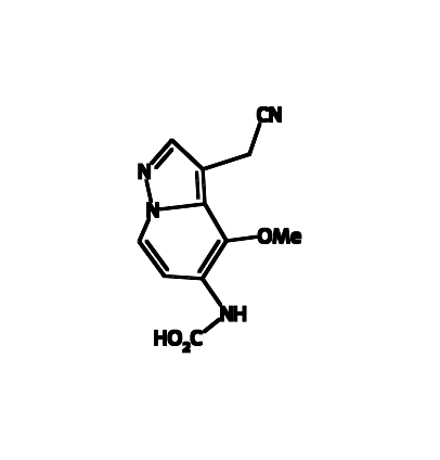 COc1c(NC(=O)O)ccn2ncc(CC#N)c12